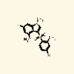 Cc1cc(Br)ccc1S(=O)(=O)c1cn(C)c2cc(F)cc(C)c12